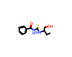 CCC(CO)NC(=S)NC(=O)c1ccccc1